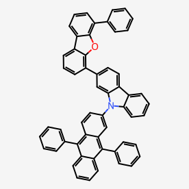 c1ccc(-c2c3ccccc3c(-c3ccccc3)c3cc(-n4c5ccccc5c5ccc(-c6cccc7c6oc6c(-c8ccccc8)cccc67)cc54)ccc23)cc1